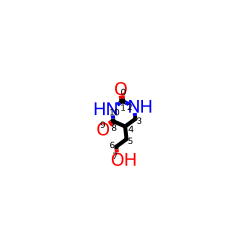 O=C1NCC(CCO)C(=O)N1